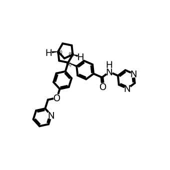 O=C(Nc1cncnc1)c1ccc([C@@]2(c3ccc(OCc4ccccn4)cc3)C[C@@H]3CC[C@H]2C3)cc1